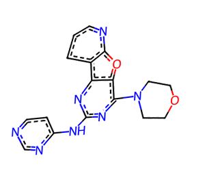 c1cnc2oc3c(N4CCOCC4)nc(Nc4ccncn4)nc3c2c1